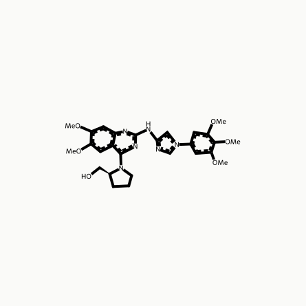 COc1cc2nc(Nc3cn(-c4cc(OC)c(OC)c(OC)c4)cn3)nc(N3CCC[C@H]3CO)c2cc1OC